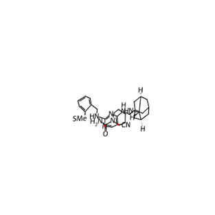 CSc1ccccc1CNc1ncc(C#N)c(NC[C@]23CC4C[C@H](C2)[C@@H](NC2CCN(C(N)=O)CC2)[C@@H](C4)C3)n1